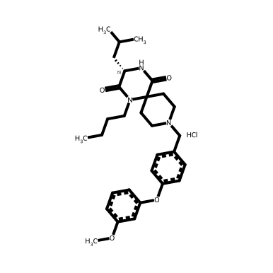 CCCCN1C(=O)[C@H](CC(C)C)NC(=O)C12CCN(Cc1ccc(Oc3cccc(OC)c3)cc1)CC2.Cl